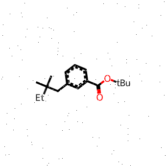 CCC(C)(C)Cc1cccc(C(=O)OC(C)(C)C)c1